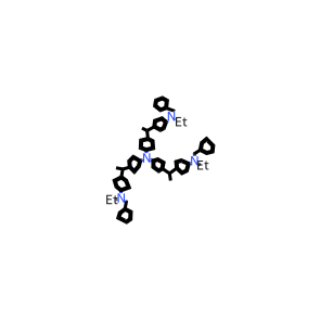 CCN(Cc1ccccc1)c1ccc(C(C)c2ccc(N(c3ccc(C(C)c4ccc(N(CC)Cc5ccccc5)cc4)cc3)c3ccc(C(C)c4ccc(N(CC)Cc5ccccc5)cc4)cc3)cc2)cc1